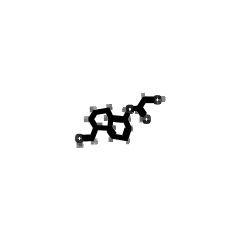 O=CC(=O)Oc1cccc2c1CCCC2C=O